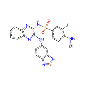 CCNc1ccc(S(=O)(=O)Nc2nc3ccccc3nc2Nc2ccc3nsnc3c2)cc1F